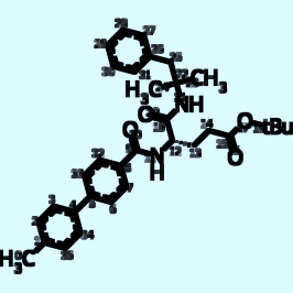 Cc1ccc(-c2ccc(C(=O)N[C@@H](CCC(=O)OC(C)(C)C)C(=O)NC(C)(C)Cc3ccccc3)cc2)cc1